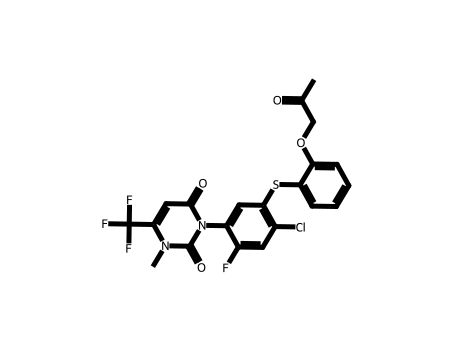 CC(=O)COc1ccccc1Sc1cc(-n2c(=O)cc(C(F)(F)F)n(C)c2=O)c(F)cc1Cl